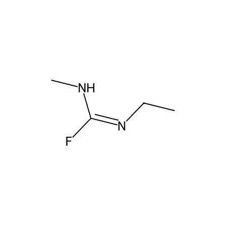 CC/N=C(/F)NC